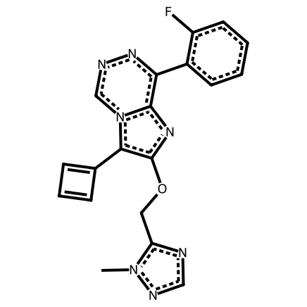 Cn1ncnc1COc1nc2c(-c3ccccc3F)nncn2c1C1=CC=C1